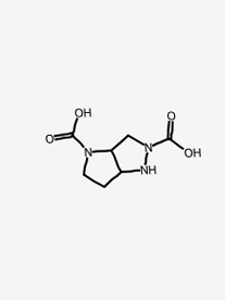 O=C(O)N1CC2C(CCN2C(=O)O)N1